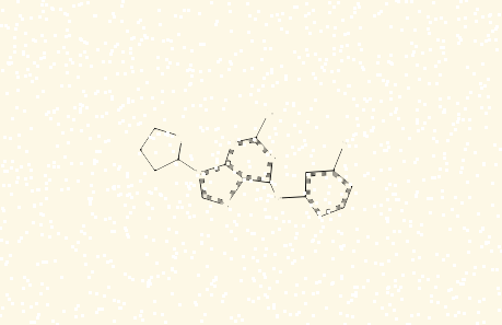 Nc1cccc(Nc2nc(S)nc3c2ncn3C2CCCO2)c1